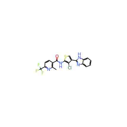 Cc1nc(C(F)(F)F)ccc1C(=O)Nc1scc(-c2nc3ccccc3[nH]2)c1Cl